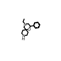 CCN1CC(c2ccccc2)OC2(CCNCC2)C1